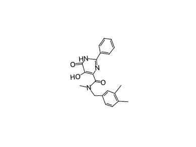 Cc1ccc(CN(C)C(=O)c2nc(-c3ccccc3)[nH]c(=O)c2O)cc1C